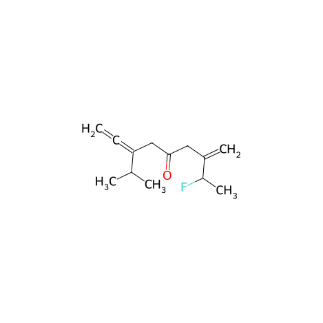 C=C=C(CC(=O)CC(=C)C(C)F)C(C)C